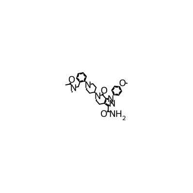 COc1ccc(-n2nc(C(N)=O)c3c2C(=O)N(C2CCN(c4ccccc4CN(C)C(C)=O)CC2)CC3)cc1